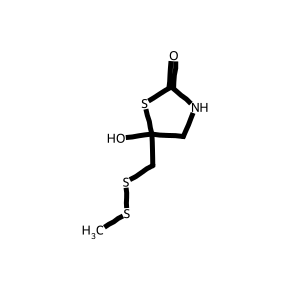 CSSCC1(O)CNC(=O)S1